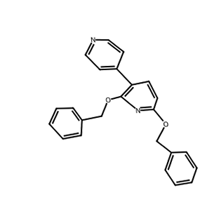 c1ccc(COc2ccc(-c3ccncc3)c(OCc3ccccc3)n2)cc1